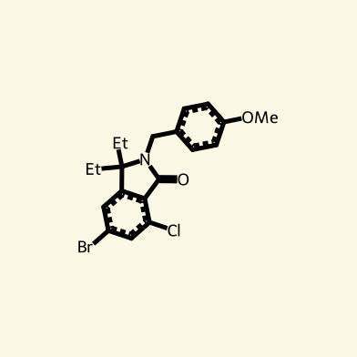 CCC1(CC)c2cc(Br)cc(Cl)c2C(=O)N1Cc1ccc(OC)cc1